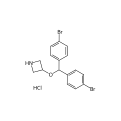 Brc1ccc(C(OC2CNC2)c2ccc(Br)cc2)cc1.Cl